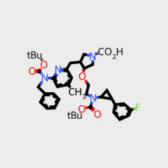 Cc1cc(CC2CN(C(=O)O)CC2OCCN(C(=O)OC(C)(C)C)C2CC2c2cccc(F)c2)nc(N(Cc2ccccc2)C(=O)OC(C)(C)C)c1